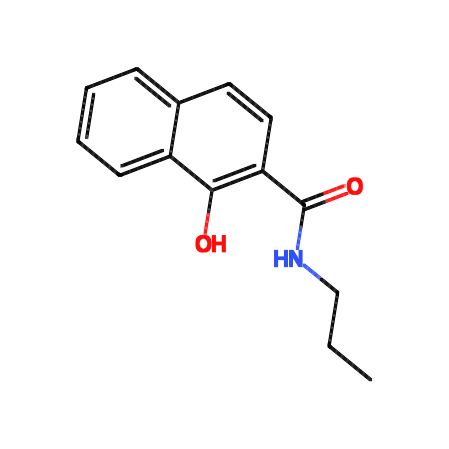 CCCNC(=O)c1ccc2ccccc2c1O